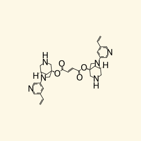 C=Cc1cncc(N2C[C@@]3(OC(=O)/C=C/C(=O)O[C@]45CNC[C@@H](C4)N(c4cncc(C=C)c4)C5)CNC[C@H]2C3)c1